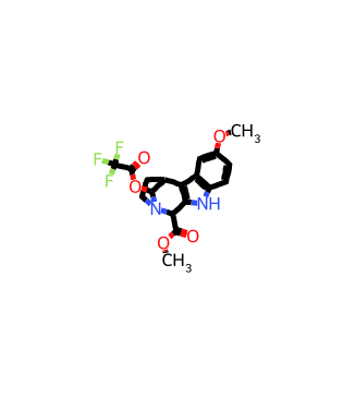 COC(=O)C1c2[nH]c3ccc(OC)cc3c2C2CCN1C2OC(=O)C(F)(F)F